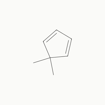 CC1(C)C=CC=C1